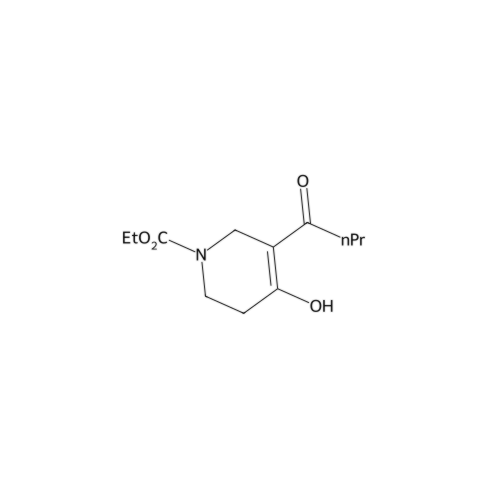 CCCC(=O)C1=C(O)CCN(C(=O)OCC)C1